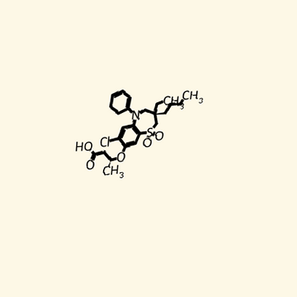 CCCC[C@]1(CC)CN(C2=CC=CCC2)c2cc(Cl)c(O[C@H](C)CC(=O)O)cc2S(=O)(=O)C1